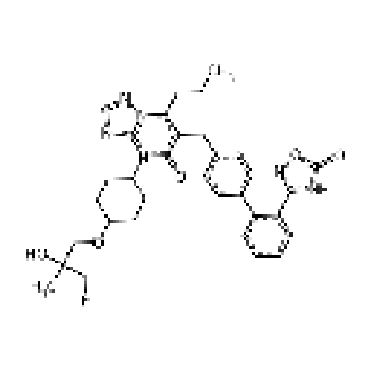 CCCc1c(Cc2ccc(-c3ccccc3-c3noc(=O)[nH]3)cc2)c(=O)n(C2CCC(OCC(C)(O)CF)CC2)c2ncnn12